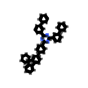 c1ccc(-c2cccc(-c3nc(-c4ccc(-c5ccc6c(c5)C5(CCCCC5)c5ccccc5-6)cc4)nc(-c4cccc(-c5ccccc5)c4)n3)c2)cc1